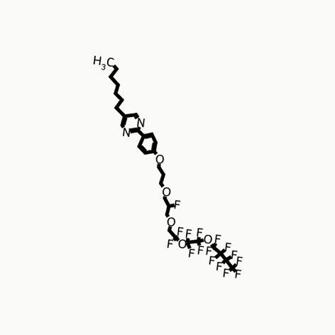 CCCCCCCc1cnc(-c2ccc(OCCCOCC(F)COCC(F)(F)OC(F)(F)C(F)(F)OC(F)(F)C(F)(F)C(F)(F)C(F)(F)F)cc2)nc1